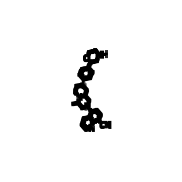 CC1CN(c2ccc(C#N)c3ncccc23)CC2C[C@@H](c3ccc(C4CNCCO4)cc3)CCN12